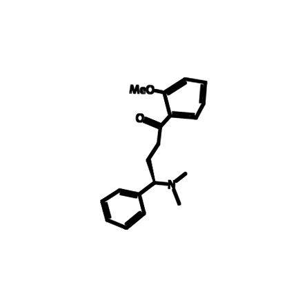 COc1ccccc1C(=O)CC[C@H](c1ccccc1)N(C)C